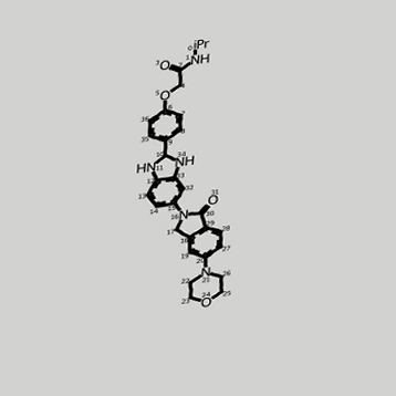 CC(C)NC(=O)COc1ccc(C2Nc3ccc(N4Cc5cc(N6CCOCC6)ccc5C4=O)cc3N2)cc1